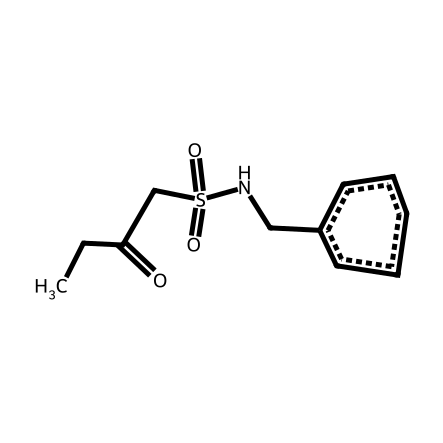 CCC(=O)CS(=O)(=O)NCc1ccccc1